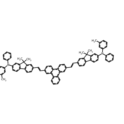 Cc1cccc(N(c2ccccc2)c2ccc3c(c2)C(C)(C)c2cc(/C=C/c4ccc5c6ccc(/C=C/c7ccc8c(c7)C(C)(C)c7cc(N(c9ccccc9)c9cccc(C)c9)ccc7-8)cc6c6ccccc6c5c4)ccc2-3)c1